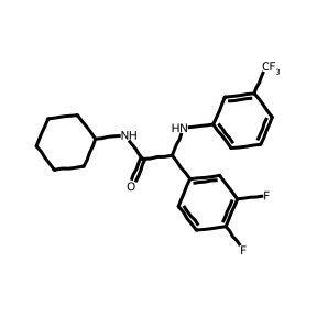 O=C(NC1CCCCC1)C(Nc1cccc(C(F)(F)F)c1)c1ccc(F)c(F)c1